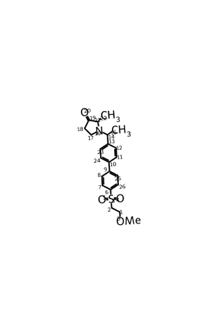 COCCS(=O)(=O)c1ccc(-c2ccc(C(C)N3CCC(=O)[C@H]3C)cc2)cc1